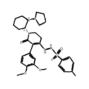 COc1ccc(C2=C(NNS(=O)(=O)c3ccc(C)cc3)CCN([C@@H]3CCCC[C@H]3N3CCCC3)C2=O)cc1OC